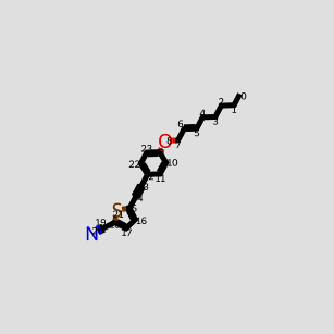 CCCCCC=CCOc1ccc(C#Cc2ccc(C#N)s2)cc1